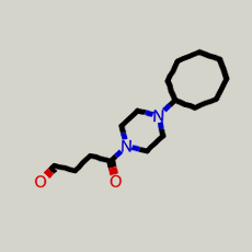 O=CCCC(=O)N1CCN(C2CCCCCCC2)CC1